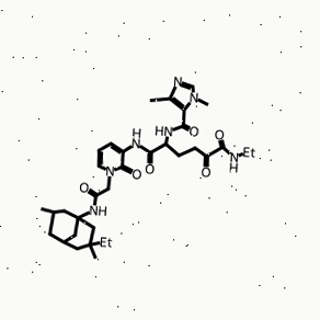 CCNC(=O)C(=O)CCC(NC(=O)c1c(C)ncn1C)C(=O)Nc1cccn(CC(=O)NC23CC(C)CC(CC(C)(CC)C2)C3)c1=O